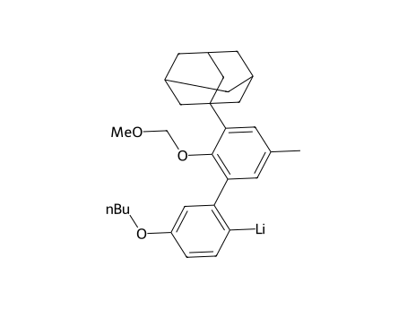 [Li][c]1ccc(OCCCC)cc1-c1cc(C)cc(C23CC4CC(CC(C4)C2)C3)c1OCOC